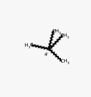 CCCCCCCCCCCC[N+](CCCCCCCCCCCC)(CCCCCCCCCCCC)CCCCCCCCCCCC.[I-]